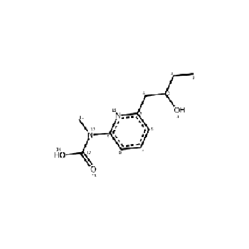 CCC(O)Cc1cccc(N(C)C(=O)O)n1